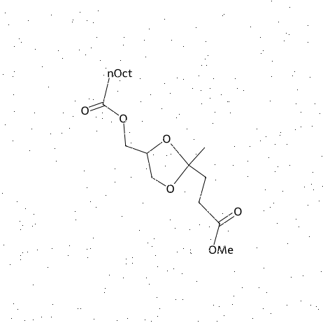 CCCCCCCCC(=O)OCC1COC(C)(CCC(=O)OC)O1